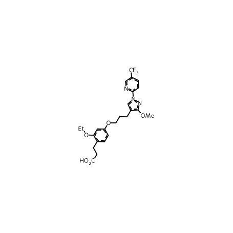 CCOc1cc(OCCCc2cn(-c3ccc(C(F)(F)F)cn3)nc2OC)ccc1CCC(=O)O